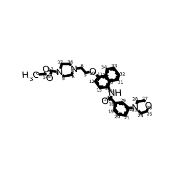 CC1OC(N2CCN(CCOc3ccc(NC(=O)c4cccc(N5CCOCC5)c4)c4ccccc34)CC2)O1